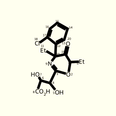 CCC1OC(C(O)C(O)C(=O)O)=NC(CC)(c2ccccc2Cl)C1=O